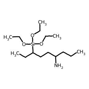 CCCC(N)CCC(CC)[Si](OCC)(OCC)OCC